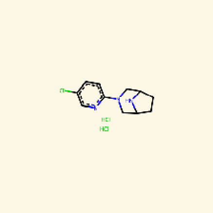 Cl.Cl.Clc1ccc(N2CC3CCC(C2)N3)nc1